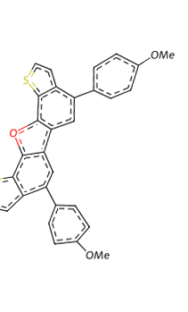 COc1ccc(-c2cc3c4cc(-c5ccc(OC)cc5)c5ccsc5c4oc3c3sccc23)cc1